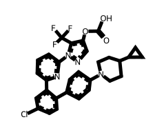 O=C(O)Oc1cnn(-c2cccc(-c3cc(Cl)ccc3-c3ccc(N4CCC(C5CC5)CC4)cc3)n2)c1C(F)(F)F